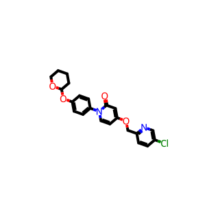 O=c1cc(OCc2ccc(Cl)cn2)ccn1-c1ccc(OC2CCCCO2)cc1